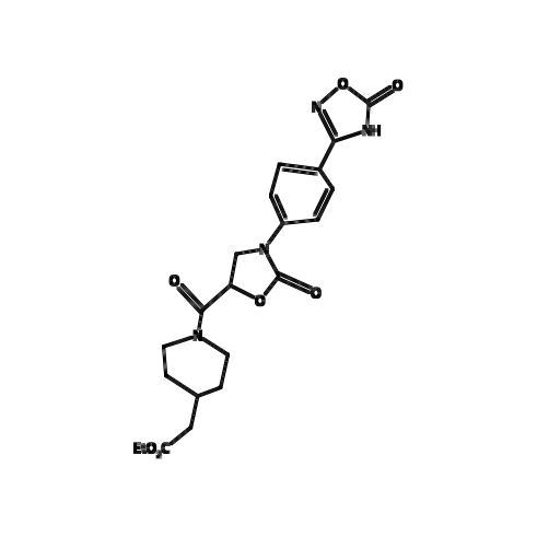 CCOC(=O)CC1CCN(C(=O)C2CN(c3ccc(-c4noc(=O)[nH]4)cc3)C(=O)O2)CC1